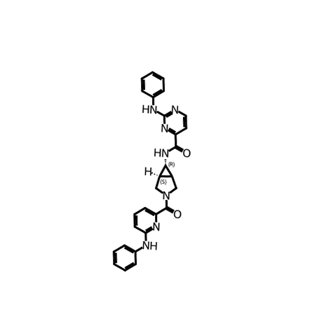 O=C(N[C@@H]1C2CN(C(=O)c3cccc(Nc4ccccc4)n3)C[C@H]21)c1ccnc(Nc2ccccc2)n1